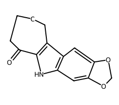 O=C1CCCCc2c1[nH]c1cc3c(cc21)OCO3